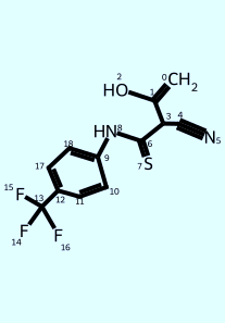 C=C(O)C(C#N)C(=S)Nc1ccc(C(F)(F)F)cc1